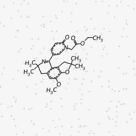 CCOC(=O)Cn1cc(C2=NC(C)(C)Cc3cc(OC)c4c(c32)CC(C)(C)O4)ccc1=O